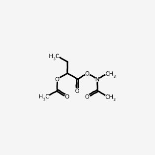 CCC(OC(C)=O)C(=O)ON(C)C(C)=O